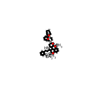 COC(=O)C1=C(CCc2ccccc2OC)NC(CC(=O)N2CCN(C3CC4CCC(C3)N4Cc3ccccc3)CC2)=C(C(=O)OC)C1c1c(Cl)cccc1Cl